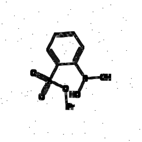 CC(C)OS(=O)(=O)c1ccccc1B(O)O